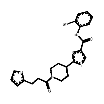 CC(C)(C)c1ccccc1NC(=O)c1csc(C2CCN(C(=O)CCc3ccco3)CC2)n1